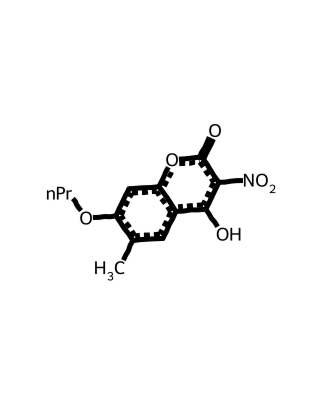 CCCOc1cc2oc(=O)c([N+](=O)[O-])c(O)c2cc1C